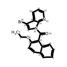 CCOc1ccc2ccccc2c1C(=O)n1cc(Br)c2cccnc21